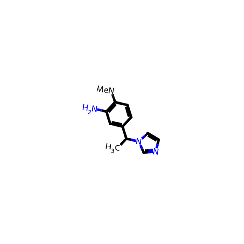 CNc1ccc(C(C)n2ccnc2)cc1N